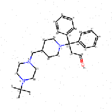 CC(C)(C)N1CCN(CC2CCN(C(CC=O)(c3ccccc3)c3ccccc3)CC2)CC1